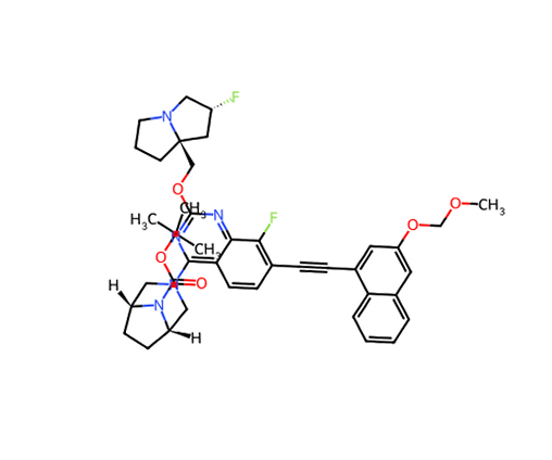 COCOc1cc(C#Cc2ccc3c(N4C[C@H]5CC[C@@H](C4)N5C(=O)OC(C)(C)C)nc(OC[C@@]45CCCN4C[C@H](F)C5)nc3c2F)c2ccccc2c1